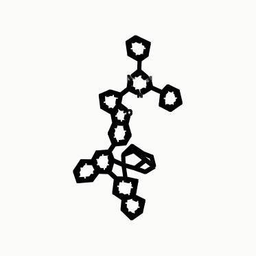 c1ccc(-c2nc(-c3ccccc3)nc(-c3cccc4c3oc3ccc(-c5cc6ccccc6c6c5C5(c7cc8ccccc8cc7-6)C6CC7CC(C6)CC5C7)cc34)n2)cc1